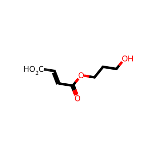 O=C(O)C=CC(=O)OCCCO